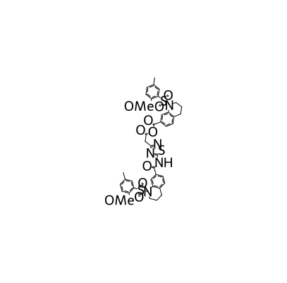 COc1ccc(C)cc1S(=O)(=O)N1CCCc2ccc(C(=O)Nc3nc(CC(=O)OC(=O)c4ccc5c(c4)N(S(=O)(=O)c4cc(C)ccc4OC)CCC5)ns3)cc21